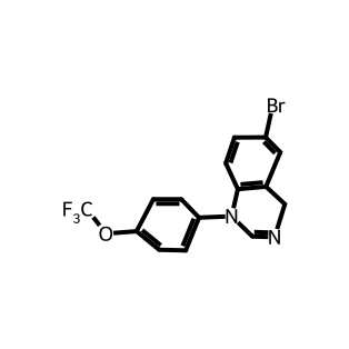 FC(F)(F)Oc1ccc(N2C=NCc3cc(Br)ccc32)cc1